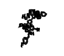 COC(=O)CC(Nc1ncc(C#N)cc1C(=O)NCCc1ccc(F)cc1)c1ccc(-c2cn(S(=O)(=O)c3ccccc3)c3ncnc(N)c23)cc1